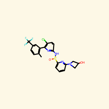 Cc1ccc(C(F)(F)F)cc1-c1nc(N[S+]([O-])c2cccc(N3CC(O)C3)n2)ccc1Cl